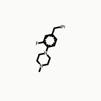 CC(C)Cc1ccc(N2CCN(C)CC2)c(F)c1